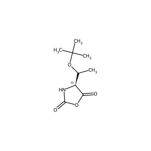 CC(OC(C)(C)C)[C@@H]1NC(=O)OC1=O